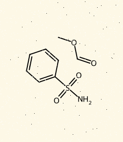 COC=O.NS(=O)(=O)c1ccccc1